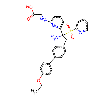 CCOc1ccc(-c2ccc(CC(N)(c3cccc(NCC(=O)O)n3)S(=O)(=O)c3ccccn3)cc2)cc1